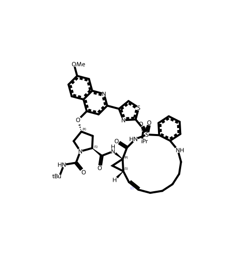 COc1ccc2c(O[C@@H]3C[C@@H](C(=O)N[C@]45C[C@H]4/C=C\CCCCCNc4ccccc4S(=O)(=O)NC5=O)N(C(=O)NC(C)(C)C)C3)cc(-c3csc(NC(C)C)n3)nc2c1